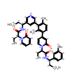 Cc1ccc(-c2ccn(C(CC(C)C)C(=O)N[C@H](CC(=O)O)c3cccc(C(C)(C)C)c3)c(=O)c2)c(C)c1-c1cncc([C@H](CC(=O)O)NC(=O)[C@H](CC(C)C)n2ccccc2=O)c1